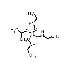 CCN[O][Ti]([O]NCC)([O]NCC)[O]C(C)C